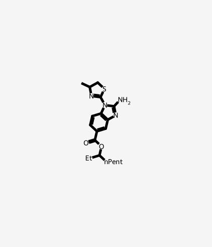 CCCCCC(CC)OC(=O)c1ccc2c(c1)nc(N)n2C1=NC(C)CS1